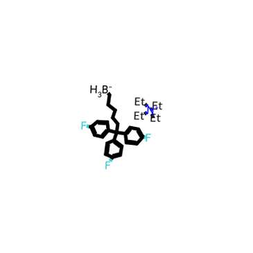 CC[N+](CC)(CC)CC.[BH3-]CCCCCC(c1ccc(F)cc1)(c1ccc(F)cc1)c1ccc(F)cc1